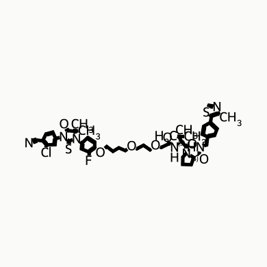 Cc1ncsc1-c1ccc(CNC(=O)[C@@H]2CCCN2C(=O)[C@@H](NC(=O)COCCCOCCCCOc2ccc(N3C(=S)N(c4ccc(C#N)c(Cl)c4)C(=O)C3(C)C)cc2F)C(C)(C)C)cc1